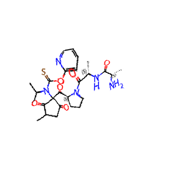 CC1CC(=O)C(C(=O)[C@@H]2CCCN2C(=O)[C@H](C)NC(=O)[C@H](C)N)(N(C(=S)Oc2ccccn2)C(C)C)C1=O